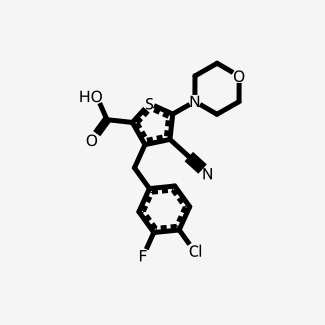 N#Cc1c(N2CCOCC2)sc(C(=O)O)c1Cc1ccc(Cl)c(F)c1